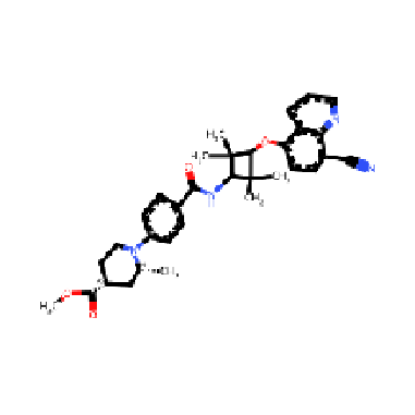 COC(=O)[C@@H]1CCN(c2ccc(C(=O)NC3C(C)(C)C(Oc4ccc(C#N)c5ncccc45)C3(C)C)cc2)[C@H](C)C1